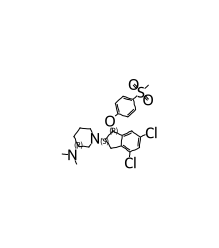 CN(C)[C@@H]1CCCN([C@H]2Cc3c(Cl)cc(Cl)cc3[C@H]2Oc2ccc(S(C)(=O)=O)cc2)C1